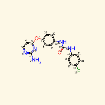 Nc1nccc(Oc2ccc(NC(=O)Nc3ccc(F)cc3)cc2)n1